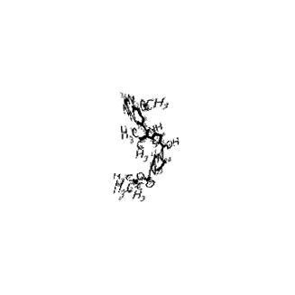 COc1cc(-c2[nH]c3cc(C(O)N4CCN(C(=O)OC(C)(C)C)CC4)sc3c2C(C)C)cn2ncnc12